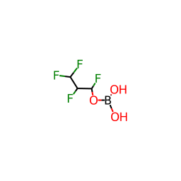 OB(O)OC(F)C(F)C(F)F